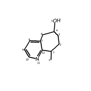 CC1CCC(O)Cc2cccnc21